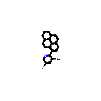 Cc1cnc(-c2ccc3ccc4cccc5ccc2c3c45)c([N+](=O)[O-])c1